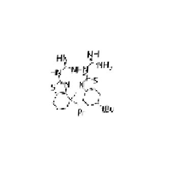 CC(C)(C)C1CCc2nc(NC(=N)N)sc2C1.CC(C)CC1(C)CCCc2sc(NC(=N)N)nc21